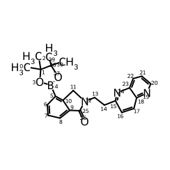 CC1(C)OB(c2cccc3c2CN(CCc2ccc4ncccc4n2)C3=O)OC1(C)C